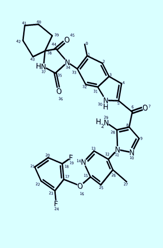 Cc1cc2cc(C(=O)c3cnn(-c4cnc(Oc5c(F)cccc5F)cc4C)c3N)[nH]c2cc1N1C(=O)NC2(CCCCC2)C1=O